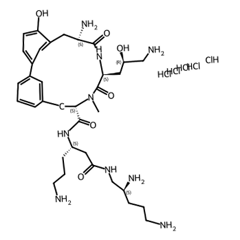 CN1C(=O)[C@H](C[C@@H](O)CN)NC(=O)[C@@H](N)Cc2cc(ccc2O)-c2cccc(c2)C[C@H]1C(=O)N[C@@H](CCCN)CC(=O)NC[C@@H](N)CCCN.Cl.Cl.Cl.Cl.Cl